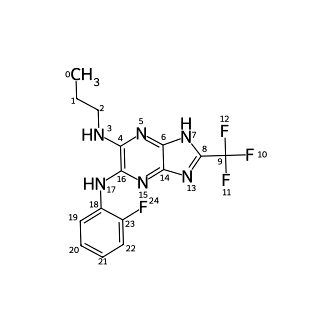 CCCNc1nc2[nH]c(C(F)(F)F)nc2nc1Nc1ccccc1F